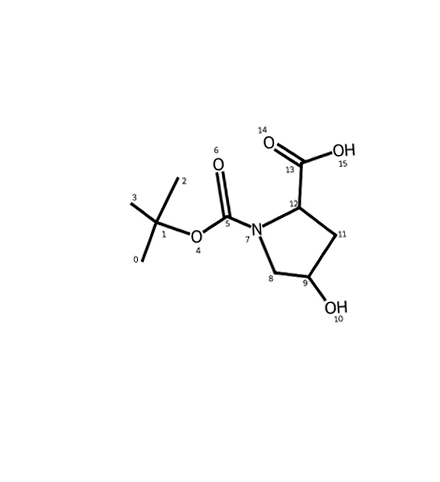 CC(C)(C)OC(=O)N1CC(O)CC1C(=O)O